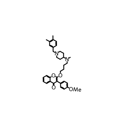 COc1ccc(-c2c(OCCCCN(C)C3CCN(Cc4ccc(C)c(C)c4)CC3)oc3ccccc3c2=O)cc1